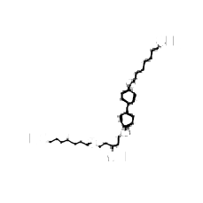 CCCCCCCCOCCC(C)CCOc1ccc(-c2ccc(OCCCCCCCC)cc2)cc1